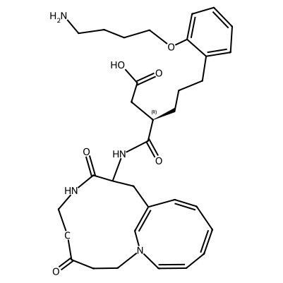 NCCCCOc1ccccc1CCC[C@H](CC(=O)O)C(=O)NC1Cc2ccccccn(c2)CCC(=O)CCNC1=O